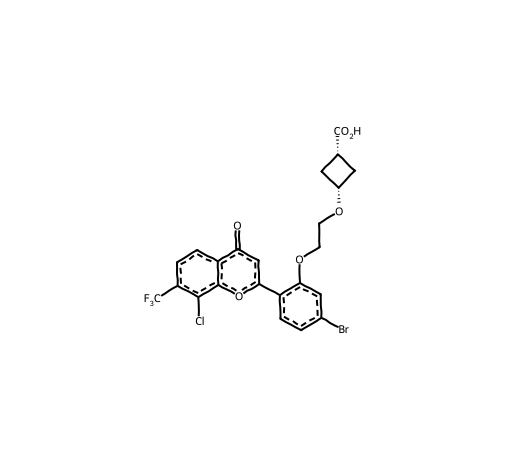 O=c1cc(-c2ccc(Br)cc2OCCO[C@H]2C[C@@H](C(=O)O)C2)oc2c(Cl)c(C(F)(F)F)ccc12